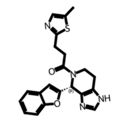 Cc1cnc(CCC(=O)N2CCc3[nH]cnc3[C@@H]2c2cc3ccccc3o2)s1